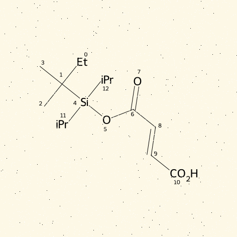 CCC(C)(C)[Si](OC(=O)/C=C/C(=O)O)(C(C)C)C(C)C